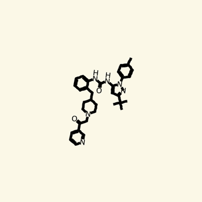 Cc1ccc(-n2nc(C(C)(C)C)cc2NC(=O)Nc2ccccc2CC2CCN(CC(=O)c3cccnc3)CC2)cc1